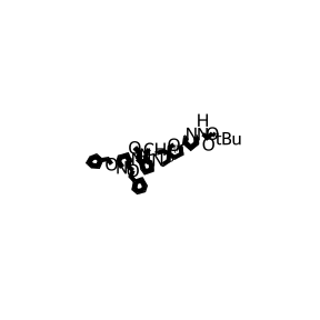 Cn1c(=O)n(-c2ccc(OCc3ccccc3)nc2OCc2ccccc2)c2cccc(N3CCC4(CC[C@H](c5ccc(NC(=O)OC(C)(C)C)nc5)OC4)CC3)c21